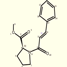 COC(=O)[C@@H]1CCCN1C(=O)/C=C/c1ccccc1